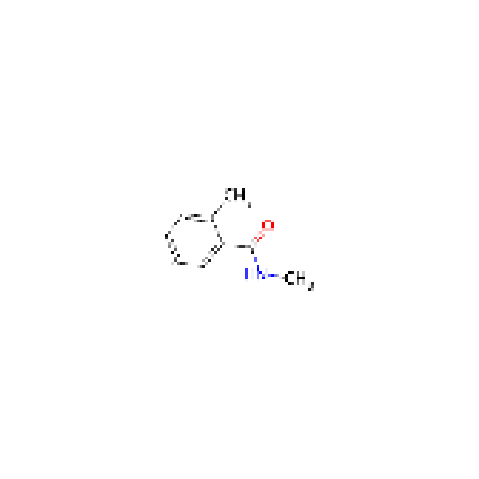 CNC(=O)c1c[c]ccc1C